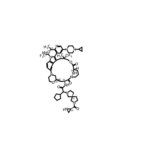 CO[C@@H](C)c1ncc(N2CCN(C3CC3)CC2)cc1-c1c2c3cc(ccc3n1CC(F)(F)F)N1CCO[C@@H](C[C@H](NC(=O)C(C3CCCC3)N3CC[C@]4(CCN(C(=O)[C@H]5CN5)C4)C3)C(=O)N3CCC[C@H](N3)C(=O)OCC(C)(C)C2)C1